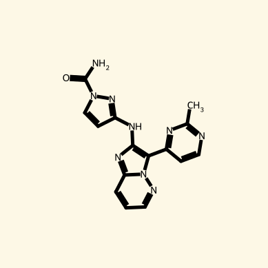 Cc1nccc(-c2c(Nc3ccn(C(N)=O)n3)nc3cccnn23)n1